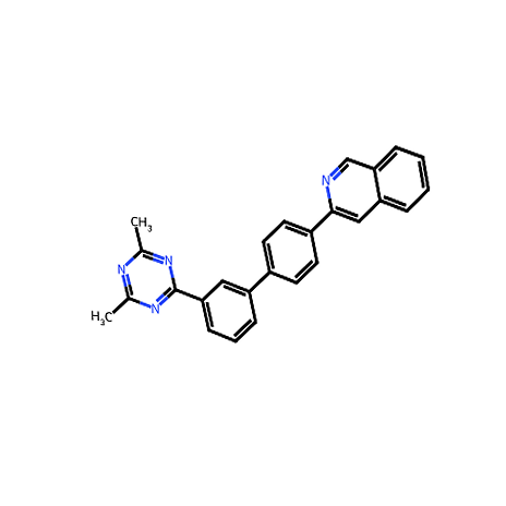 Cc1nc(C)nc(-c2cccc(-c3ccc(-c4cc5ccccc5cn4)cc3)c2)n1